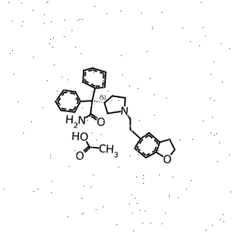 CC(=O)O.NC(=O)C(c1ccccc1)(c1ccccc1)[C@@H]1CCN(CCc2ccc3c(c2)CCO3)C1